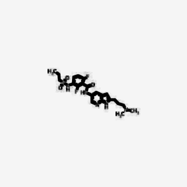 CCCS(=O)(=O)Nc1ccc(F)c(C(=O)Nc2cnc3[nH]c(CCCN(C)C)cc3c2)c1F